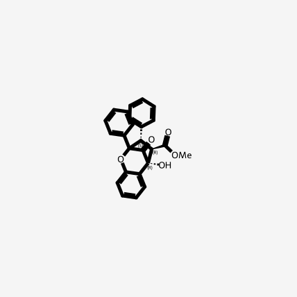 COC(=O)[C@@H]1[C@@H](c2ccccc2)C2(c3ccccc3)Oc3ccccc3[C@@]1(O)C2=O